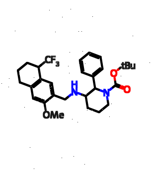 COc1cc2c(cc1CNC1CCCN(C(=O)OC(C)(C)C)C1c1ccccc1)C(C(F)(F)F)CCC2